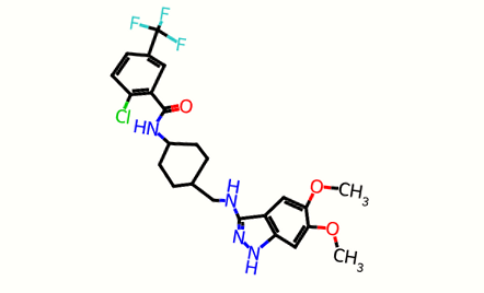 COc1cc2[nH]nc(NCC3CCC(NC(=O)c4cc(C(F)(F)F)ccc4Cl)CC3)c2cc1OC